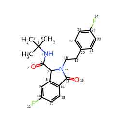 CC(C)(C)NC(=O)C1c2cc(F)ccc2C(=O)N1CCc1ccc(F)cc1